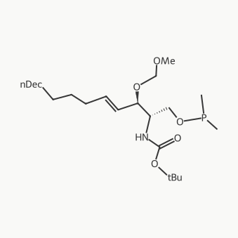 CCCCCCCCCCCCC/C=C/[C@@H](OCOC)[C@H](COP(C)C)NC(=O)OC(C)(C)C